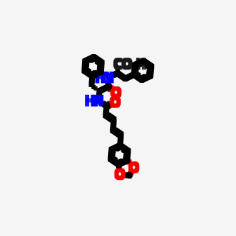 O=C(/C=C/C=C/c1ccc2c(c1)OCO2)N[C@H](Cc1ccccc1)C(=O)N[C@H](Cc1ccccc1)C(=O)O